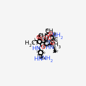 C=Cc1cc(C(=O)Nc2ccc(C(=N)N)cc2)c(-c2ccc(C(=O)NCC3CC3)nc2C(=O)OCC(C)OC(=O)[C@@H](N)C(C)C)cc1OC